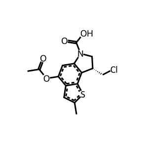 CC(=O)Oc1cc2c(c3sc(C)cc13)[C@@H](CCl)CN2C(=O)O